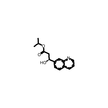 CC(C)OC(=O)C[C@H](O)c1ccc2cccnc2c1